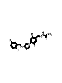 NC(=S)N/N=C/c1cc(F)c(N2CC[C@H](NCc3cc(F)ccc3Cl)C2)cc1F